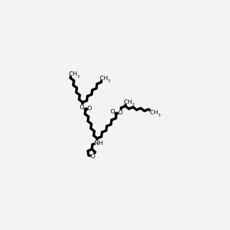 CCCCCCCCC(CCCCCCCC)OC(=O)CCCCCCCC(CCCCCCCC(=O)OCC(C)CCCCCCC)NCC1CCOC1